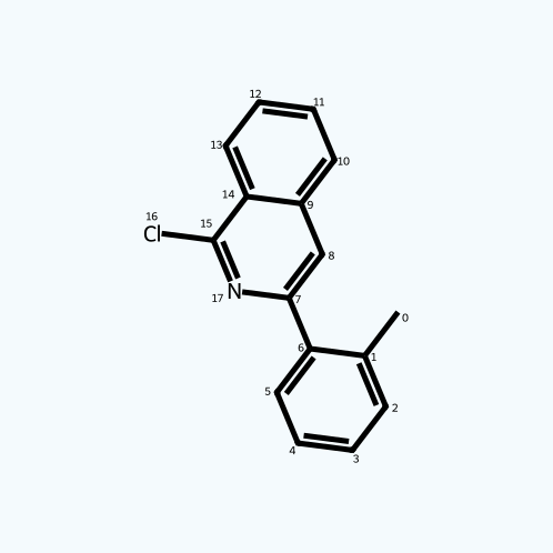 Cc1ccccc1-c1cc2ccccc2c(Cl)n1